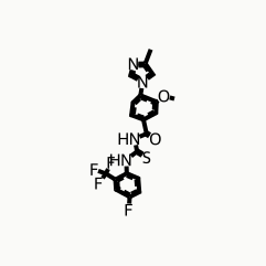 COc1cc(C(=O)NC(=S)Nc2ccc(F)cc2C(F)(F)F)ccc1-n1cnc(C)c1